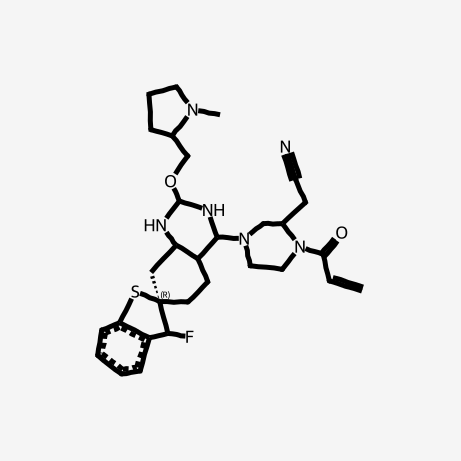 C=CC(=O)N1CCN(C2NC(OCC3CCCN3C)NC3C[C@@]4(CCC32)Sc2ccccc2C4F)CC1CC#N